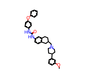 COc1cccc(C2CCN(CC3CCc4cc(NC(=O)Nc5ccc(Oc6ccccc6)cc5)ccc4C3)CC2)c1